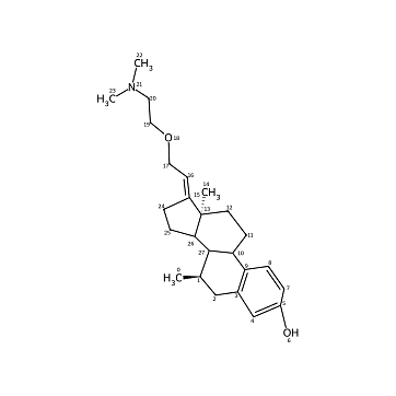 C[C@@H]1Cc2cc(O)ccc2C2CC[C@]3(C)/C(=C/COCCN(C)C)CCC3C21